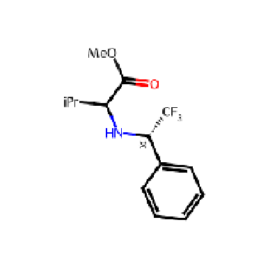 COC(=O)C(N[C@@H](c1ccccc1)C(F)(F)F)C(C)C